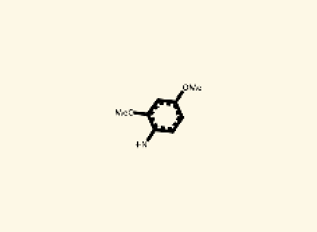 COc1ccc([NH])c(OC)c1